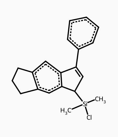 C[Si](C)(Cl)C1C=C(c2ccccc2)c2cc3c(cc21)CCC3